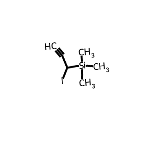 C#CC(I)[Si](C)(C)C